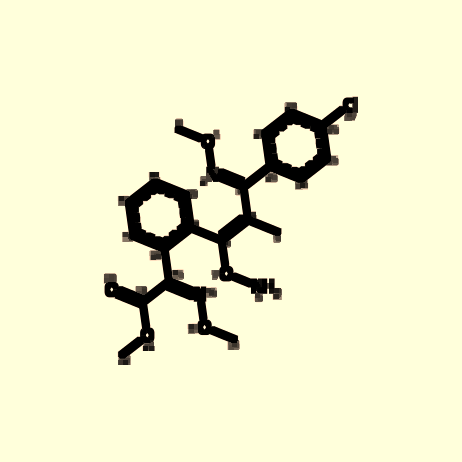 CON=C(C(C)=C(ON)c1ccccc1C(=NOC)C(=O)OC)c1ccc(Cl)cc1